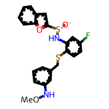 CONc1cccc(CSc2ccc(F)cc2N[S+]([O-])c2cc3ccccc3o2)c1